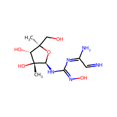 C[C@]1(O)[C@H](NC(=N/O)/N=C(/N)C=N)O[C@](C)(CO)[C@H]1O